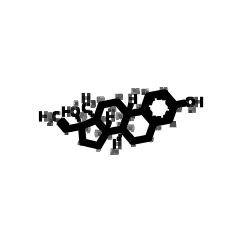 C=C[C@]1(O)CC[C@H]2[C@@H]3CCc4cc(O)ccc4[C@H]3CC[C@@]21C